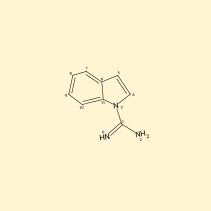 N=C(N)n1ccc2ccccc21